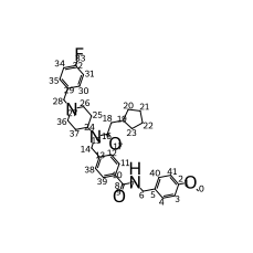 COc1ccc(CNC(=O)c2ccc(CN(C(=O)CC3CCCC3)C3CCN(Cc4ccc(F)cc4)CC3)cc2)cc1